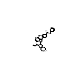 C=CC(=O)N1CC2(CCNCC2)CC1c1nc(-c2ccc(C(=O)Nc3ccccn3)cc2)c2c(N)nccn12